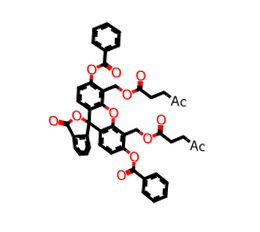 CC(=O)CCC(=O)OCc1c(OC(=O)c2ccccc2)ccc2c1Oc1c(ccc(OC(=O)c3ccccc3)c1COC(=O)CCC(C)=O)C21OC(=O)c2ccccc21